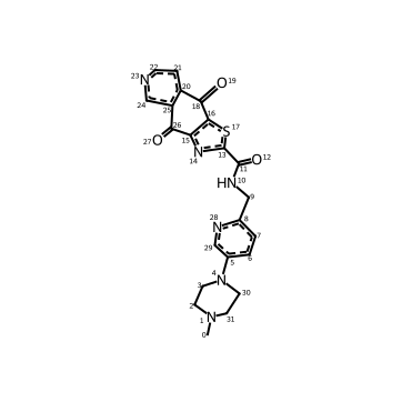 CN1CCN(c2ccc(CNC(=O)c3nc4c(s3)C(=O)c3ccncc3C4=O)nc2)CC1